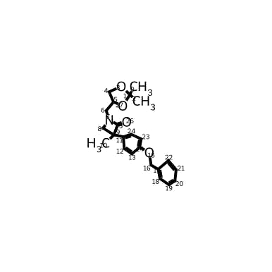 CC1(C)OCC(CN2CC(C)(c3ccc(OCc4ccccc4)cc3)C2=O)O1